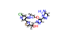 CC(CCOc1c(-c2nccc(N)n2)cnn1C)Nc1cc(Cl)ncc1-c1nc(C(C)(C)O)cs1